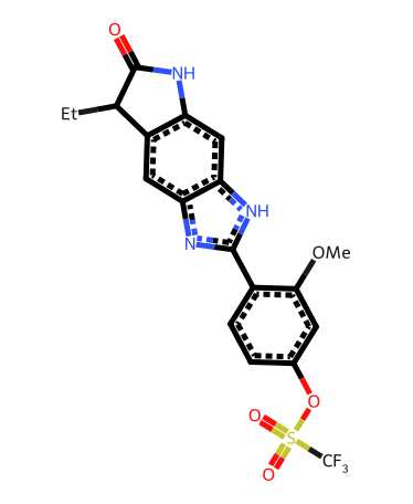 CCC1C(=O)Nc2cc3[nH]c(-c4ccc(OS(=O)(=O)C(F)(F)F)cc4OC)nc3cc21